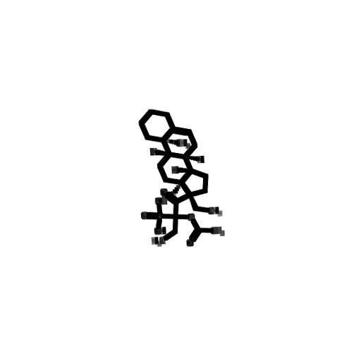 CCC(OC(C)=O)(C(=O)[C@@]1(CC)CC[C@H]2[C@@H]3CC=C4CCCC[C@]4(C)[C@H]3CC[C@@]21C)P(=O)(O)O